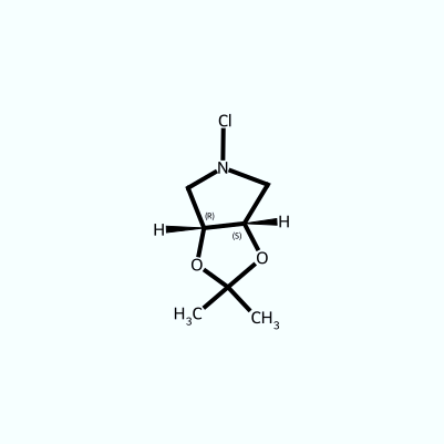 CC1(C)O[C@H]2CN(Cl)C[C@H]2O1